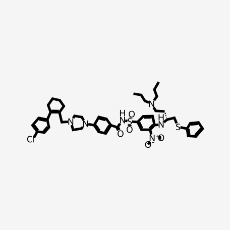 CCCN(CCC)CC[C@H](CSc1ccccc1)Nc1ccc(S(=O)(=O)NC(=O)c2ccc(N3CCN(CC4=C(c5ccc(Cl)cc5)CCCC4)CC3)cc2)cc1[N+](=O)[O-]